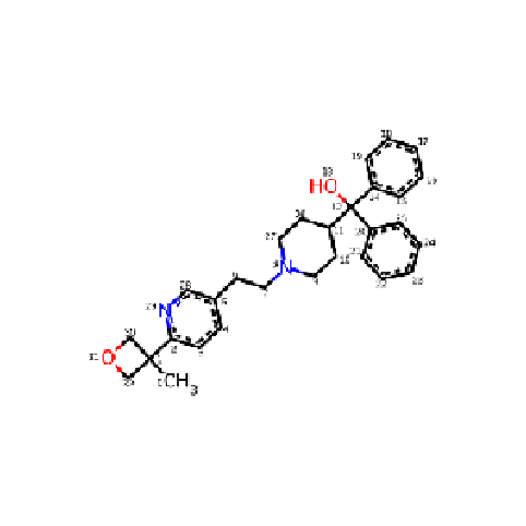 CC1(c2ccc(CCN3CCC(C(O)(c4ccccc4)c4ccccc4)CC3)cn2)COC1